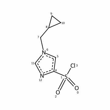 O=S(=O)(Cl)c1cn(CC2CC2)cn1